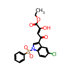 CCOC(=O)C(O)=CC(=O)c1cn(S(=O)(=O)c2ccccc2)c2ccc(Cl)cc12